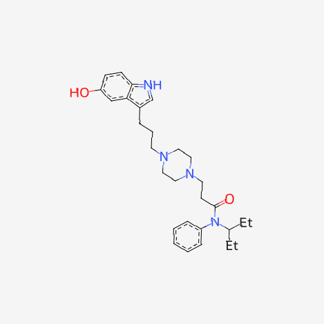 CCC(CC)N(C(=O)CCN1CCN(CCCc2c[nH]c3ccc(O)cc23)CC1)c1ccccc1